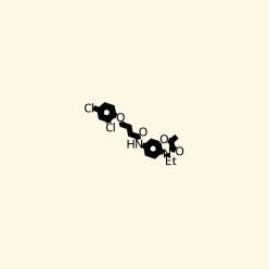 CCN1C(=O)C(C)Oc2cc(NC(=O)CCCOc3ccc(Cl)cc3Cl)ccc21